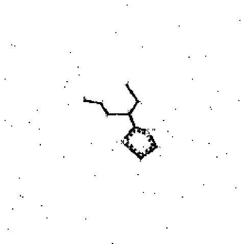 CCCC(CC)c1nccs1